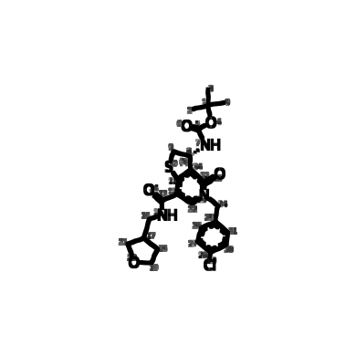 CC(C)(C)OC(=O)N[C@H]1CSc2c(C(=O)NCC3CCOC3)cn(Cc3ccc(Cl)cc3)c(=O)c21